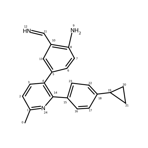 Cc1ccc(-c2ccc(N)c(C=N)c2)c(-c2ccc(C3CC3)cc2)n1